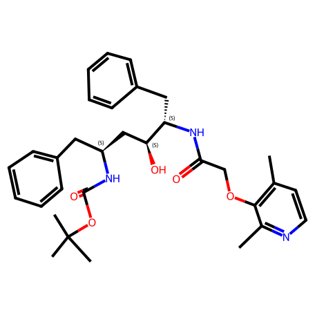 Cc1ccnc(C)c1OCC(=O)N[C@@H](Cc1ccccc1)[C@@H](O)C[C@H](Cc1ccccc1)NC(=O)OC(C)(C)C